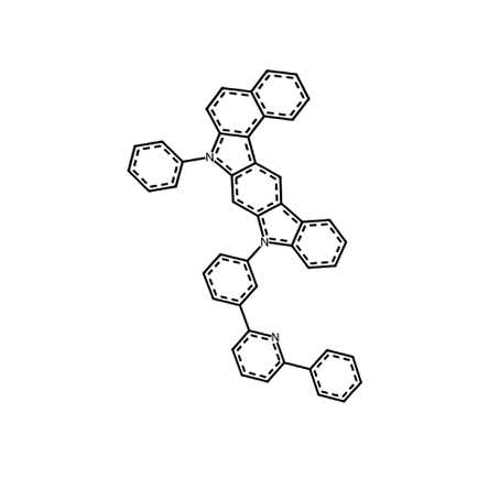 c1ccc(-c2cccc(-c3cccc(-n4c5ccccc5c5cc6c7c8ccccc8ccc7n(-c7ccccc7)c6cc54)c3)n2)cc1